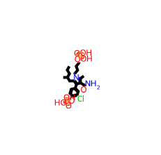 CCCC(C)Cc1c(-c2ccc(OP(=O)(O)O)c(Cl)c2)c(C(N)=O)c(C)n1CCCCOP(=O)(O)O